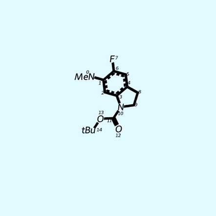 CNc1cc2c(cc1F)CCN2C(=O)OC(C)(C)C